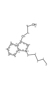 CCCCCn1cc(OCCO)c2ccccc21